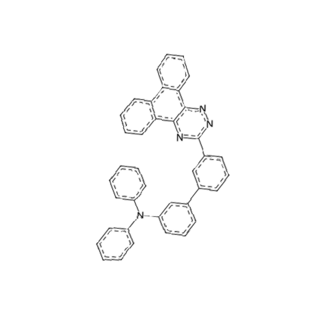 c1ccc(N(c2ccccc2)c2cccc(-c3cccc(-c4nnc5c6ccccc6c6ccccc6c5n4)c3)c2)cc1